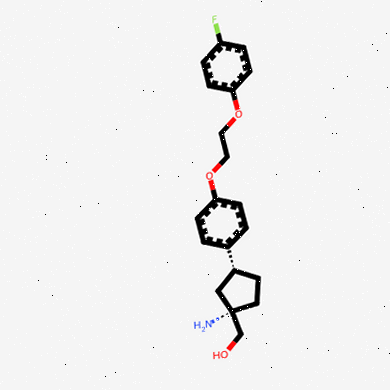 N[C@@]1(CO)CC[C@@H](c2ccc(OCCOc3ccc(F)cc3)cc2)C1